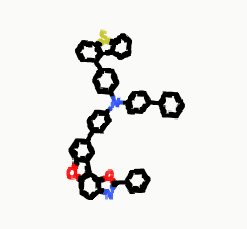 c1ccc(-c2ccc(N(c3ccc(-c4ccc5oc6ccc7nc(-c8ccccc8)oc7c6c5c4)cc3)c3ccc(-c4cccc5sc6ccccc6c45)cc3)cc2)cc1